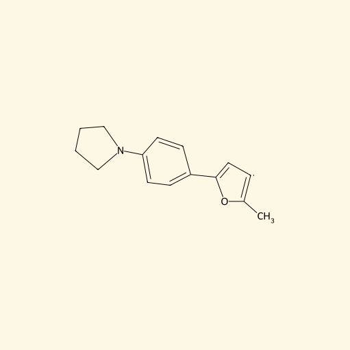 Cc1[c]cc(-c2ccc(N3CCCC3)cc2)o1